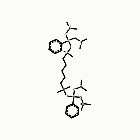 C[SiH](C)O[Si](O[SiH](C)C)(O[Si](C)(C)CCCCC[Si](C)(C)O[Si](O[SiH](C)C)(O[SiH](C)C)c1ccccc1)c1ccccc1